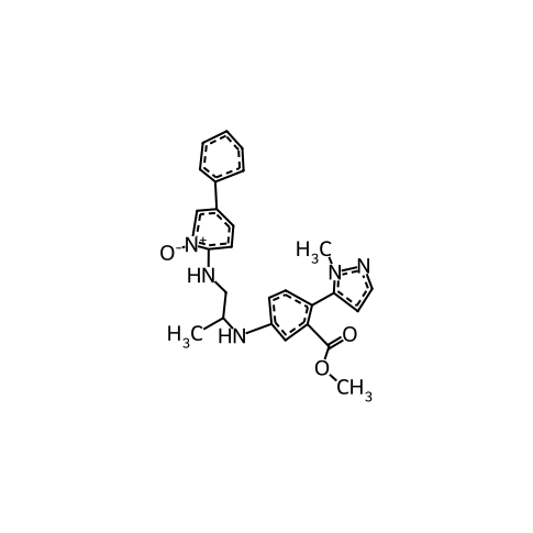 COC(=O)c1cc(NC(C)CNc2ccc(-c3ccccc3)c[n+]2[O-])ccc1-c1ccnn1C